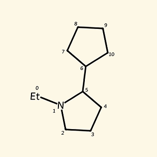 CCN1CCCC1C1CCCC1